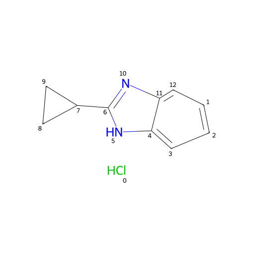 Cl.c1ccc2[nH]c(C3CC3)nc2c1